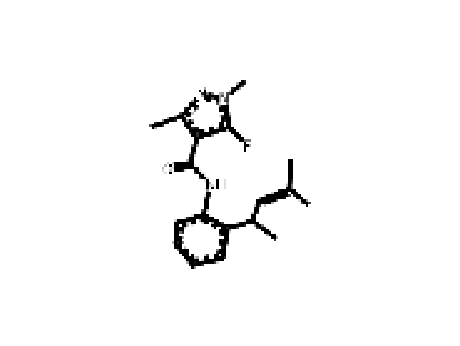 CC(C)=CC(C)c1ccccc1NC(=O)c1c(C)nn(C)c1F